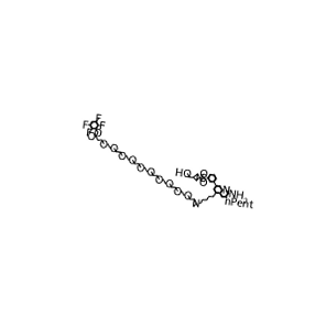 CCCCCc1cc2c(CCCCCN(C)CCOCCOCCOCCOCCOCCOCCOCCOCCOCCOCCC(=O)Oc3c(F)c(F)cc(F)c3F)cc(-c3cccc(S(=O)(=O)N4CC(CO)C4)c3)cc2nc1N